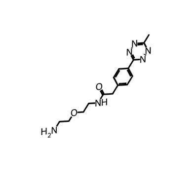 Cc1nnc(-c2ccc(CC(=O)NCCOCCN)cc2)nn1